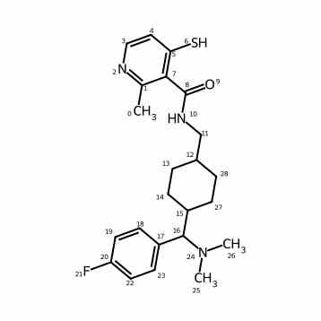 Cc1nccc(S)c1C(=O)NCC1CCC(C(c2ccc(F)cc2)N(C)C)CC1